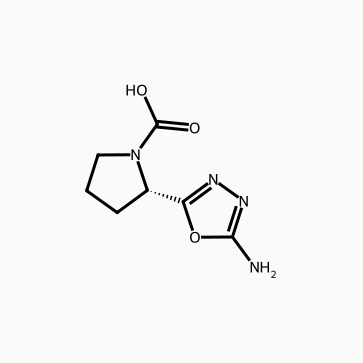 Nc1nnc([C@@H]2CCCN2C(=O)O)o1